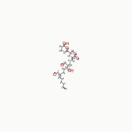 C=CCCC/C=C(/C=O)CCC(O)C(C=O)CC/C=C(/C=O)CC(C=O)C1CCCC(O)O1